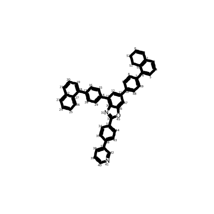 C1=Cc2cccc(-c3ccc(-c4cc(-c5ccc(-c6cccc7ccccc67)cc5)c5nc(-c6ccc(-c7cccnc7)cc6)oc5c4)cc3)c2CC1